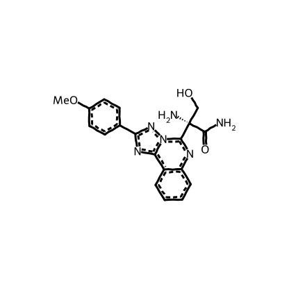 COc1ccc(-c2nc3c4ccccc4nc([C@@](N)(CO)C(N)=O)n3n2)cc1